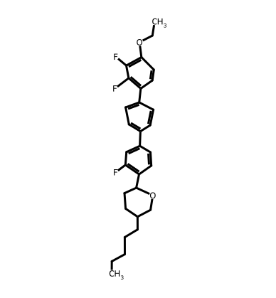 CCCCCC1CCC(c2ccc(-c3ccc(-c4ccc(OCC)c(F)c4F)cc3)cc2F)OC1